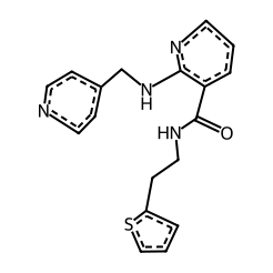 O=C(NCCc1cccs1)c1cccnc1NCc1ccncc1